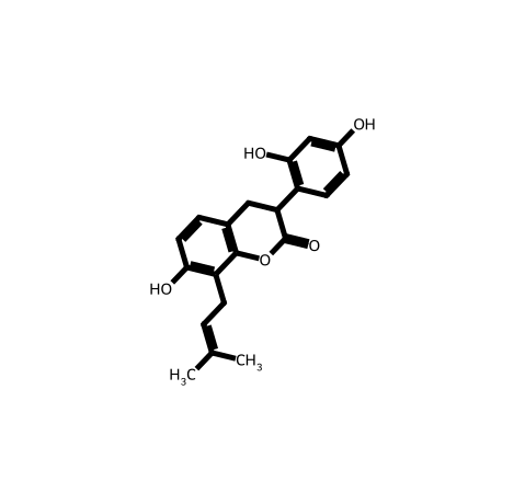 CC(C)=CCc1c(O)ccc2c1OC(=O)C(c1ccc(O)cc1O)C2